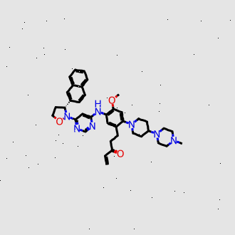 C=CC(=O)CCc1cc(Nc2cc(N3OCC[C@@H]3c3ccc4ccccc4c3)ncn2)c(OC)cc1N1CCC(N2CCN(C)CC2)CC1